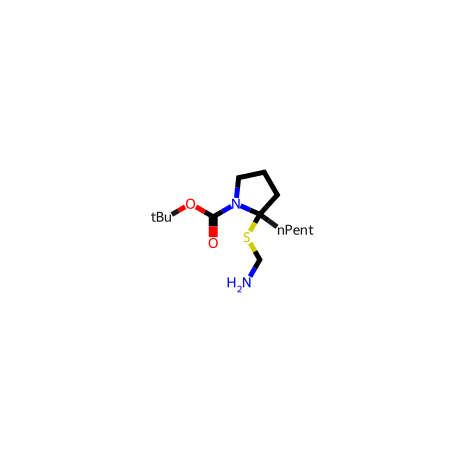 CCCCCC1(SCN)CCCN1C(=O)OC(C)(C)C